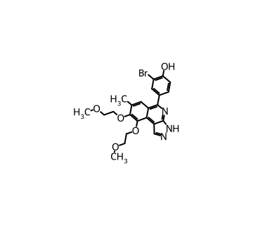 COCCOc1c(C)cc2c(-c3ccc(O)c(Br)c3)nc3[nH]ncc3c2c1OCCOC